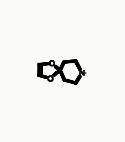 C1=COC2(CC[N]CC2)O1